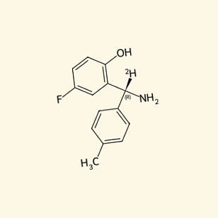 [2H][C@@](N)(c1ccc(C)cc1)c1cc(F)ccc1O